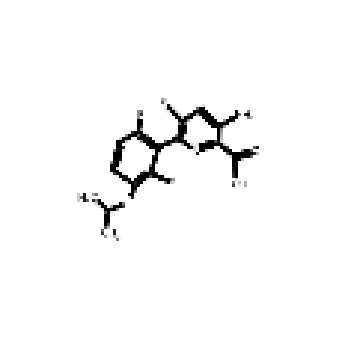 CC(C)Oc1ccc(F)c(-c2nc(C(=O)O)c(N)cc2F)c1F